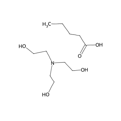 CCCCC(=O)O.OCCN(CCO)CCO